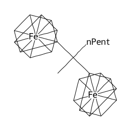 CCCCCC(C)([C]12[CH]3[CH]4[CH]5[CH]1[Fe]45321678[CH]2[CH]1[CH]6[CH]7[CH]28)[C]12[CH]3[CH]4[CH]5[CH]1[Fe]45321678[CH]2[CH]1[CH]6[CH]7[CH]28